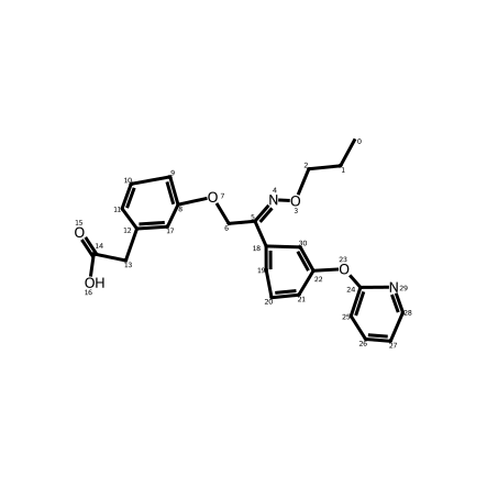 CCCON=C(COc1cccc(CC(=O)O)c1)c1cccc(Oc2ccccn2)c1